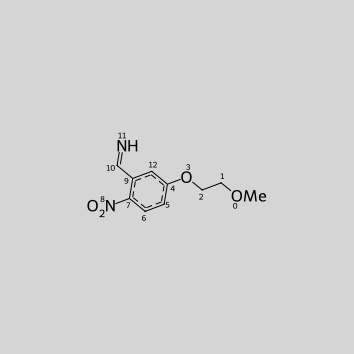 COCCOc1ccc([N+](=O)[O-])c(C=N)c1